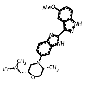 COc1ccc2[nH]nc(-c3nc4ccc(N5C[C@@H](CN(C)C(C)C)OC[C@H]5C)cc4[nH]3)c2c1